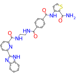 NC(=O)c1sccc1NC(=O)c1ccc(C(=O)NCCNC(=O)c2cccc(-c3nc4ccccc4[nH]3)n2)cc1